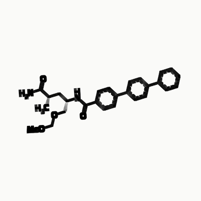 COCOC[C@H](C[C@H](C)C(N)=O)NC(=O)c1ccc(-c2ccc(-c3ccccc3)cc2)cc1